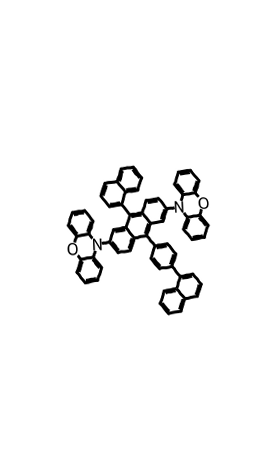 c1ccc2c(c1)Oc1ccccc1N2c1ccc2c(-c3cccc4ccccc34)c3cc(N4c5ccccc5Oc5ccccc54)ccc3c(-c3ccc(-c4cccc5ccccc45)cc3)c2c1